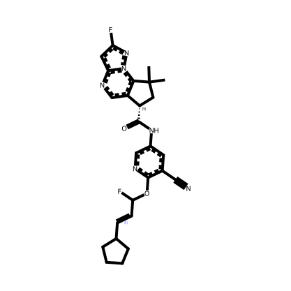 CC1(C)C[C@H](C(=O)Nc2cnc(OC(F)/C=C/C3CCCC3)c(C#N)c2)c2cnc3cc(F)nn3c21